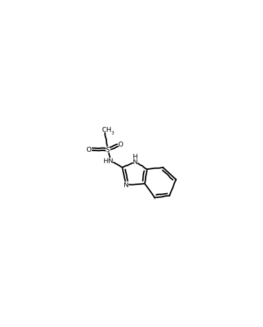 CS(=O)(=O)Nc1nc2[c]cccc2[nH]1